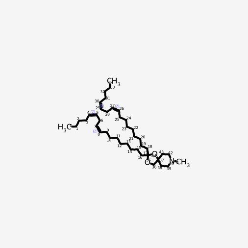 CCCC/C=C\C/C=C\CCCCCCCCC1(CCCCCCCC/C=C\C/C=C\CCCC)OCC2(CCN(C)CC2)O1